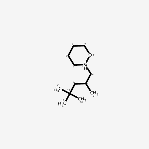 CC(C[SiH]1CCCCO1)CC(C)(C)C